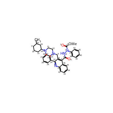 COC(=O)N(NC(=O)c1c(CN2CCN(C3CCCC(C)C3)CC2)c(-c2ccccc2)nc2ccccc12)c1ccccc1